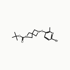 Cc1nc(Br)ccc1SN1CC2(C1)CN(C(=O)OC(C)(C)C)C2